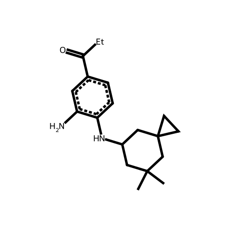 CCC(=O)c1ccc(NC2CC(C)(C)CC3(CC3)C2)c(N)c1